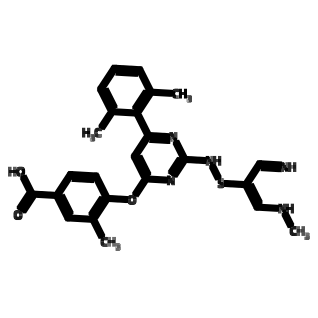 CN/C=C(\C=N)SNc1nc(Oc2ccc(C(=O)O)cc2C)cc(-c2c(C)cccc2C)n1